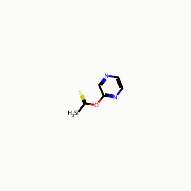 [SiH3]C(=S)Oc1cnccn1